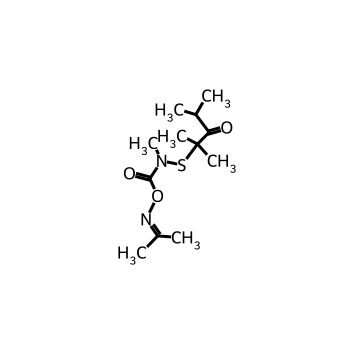 CC(C)=NOC(=O)N(C)SC(C)(C)C(=O)C(C)C